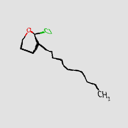 CCCCCCCCC1CCCOC1Cl